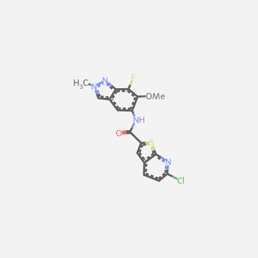 COc1c(NC(=O)c2cc3ccc(Cl)nc3s2)cc2cn(C)nc2c1F